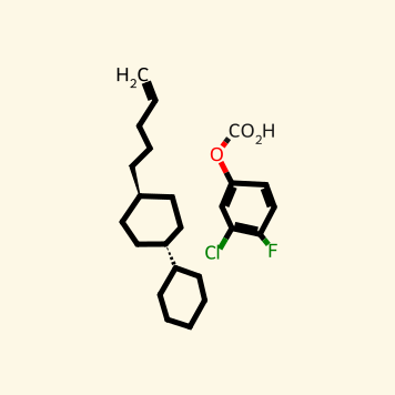 C=CCCC[C@H]1CC[C@H](C2CCCCC2)CC1.O=C(O)Oc1ccc(F)c(Cl)c1